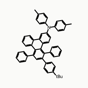 Cc1ccc(N(c2ccc(C)cc2)c2ccc3c(c2)c2ccccc2c2c(-c4ccccc4)cc(-c4ccc(C(C)(C)C)cc4)c(-c4ccccc4)c32)cc1